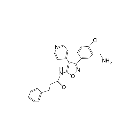 NCc1cc(-c2noc(NC(=O)CCc3ccccc3)c2-c2ccncc2)ccc1Cl